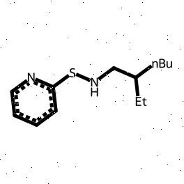 CCCCC(CC)CNSc1ccccn1